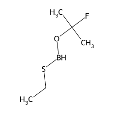 CCSBOC(C)(C)F